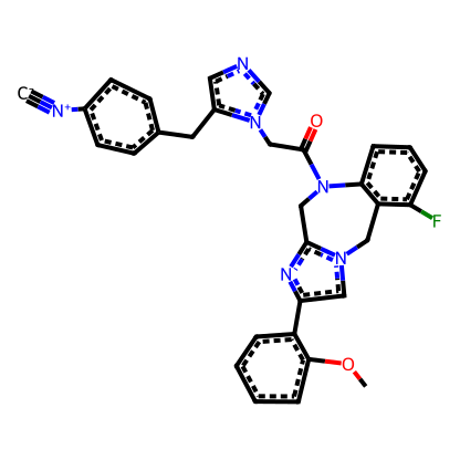 [C-]#[N+]c1ccc(Cc2cncn2CC(=O)N2Cc3nc(-c4ccccc4OC)cn3Cc3c(F)cccc32)cc1